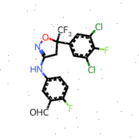 O=Cc1cc(NC2=NOC(c3cc(Cl)c(F)c(Cl)c3)(C(F)(F)F)C2)ccc1F